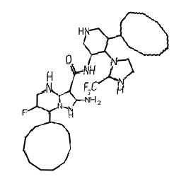 NC1NN2C(NCC(F)C2C2CCCCCCCCCC2)C1C(=O)NC1CNCC(C2CCCCCCCCC2)C1N1CCNC1C(F)(F)F